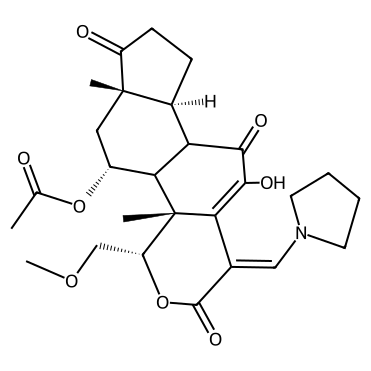 COC[C@H]1OC(=O)/C(=C/N2CCCC2)C2=C(O)C(=O)C3C([C@H](OC(C)=O)C[C@]4(C)C(=O)CC[C@@H]34)[C@]21C